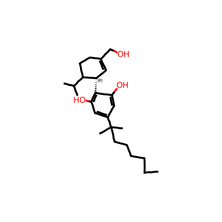 CCCCCCC(C)(C)c1cc(O)c([C@H]2C=C(CO)CCC2C(C)C)c(O)c1